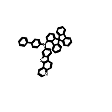 c1ccc(-c2ccc(N(c3ccc4c(c3)sc3c5cccnc5ccc43)c3cccc4c3-c3ccccc3C43c4ccccc4-c4ccccc43)cc2)cc1